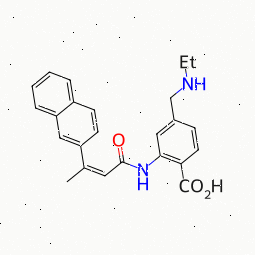 CCNCc1ccc(C(=O)O)c(NC(=O)/C=C(/C)c2ccc3ccccc3c2)c1